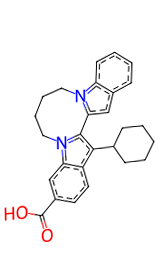 O=C(O)c1ccc2c(C3CCCCC3)c3n(c2c1)CCCCn1c-3cc2ccccc21